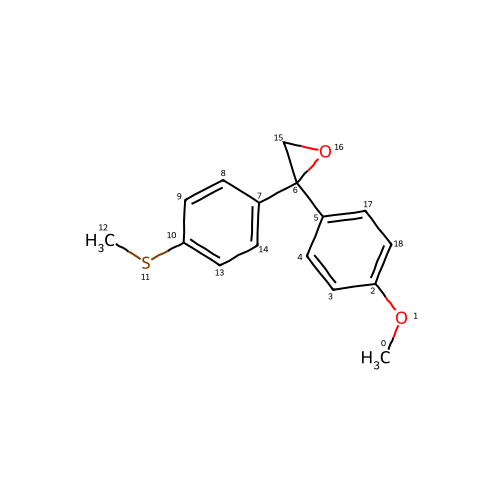 COc1ccc(C2(c3ccc(SC)cc3)CO2)cc1